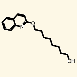 OCCCCCCCCOc1ccc2ccccc2n1